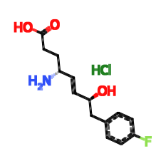 Cl.N[C@@H](C=C[C@@H](O)Cc1ccc(F)cc1)CCC(=O)O